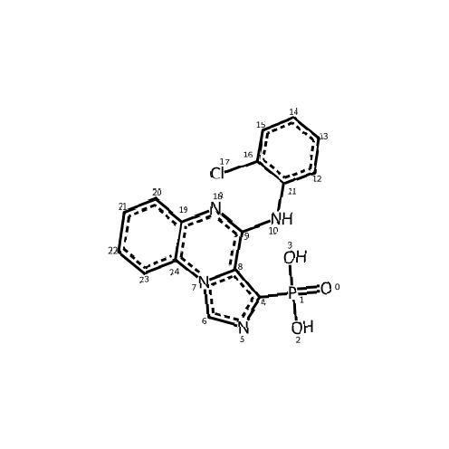 O=P(O)(O)c1ncn2c1c(Nc1ccccc1Cl)nc1ccccc12